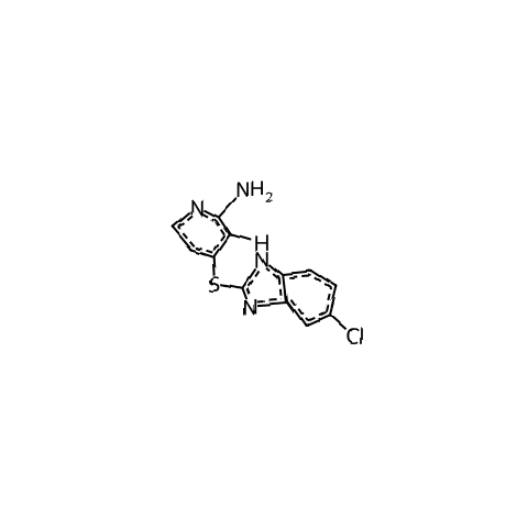 Cc1c(Sc2nc3cc(Cl)ccc3[nH]2)ccnc1N